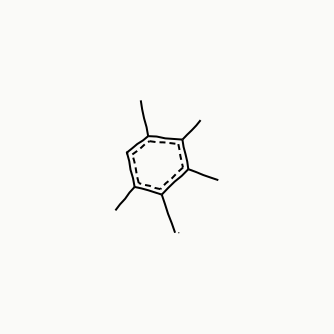 [CH2]c1c(C)cc(C)c(C)c1C